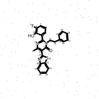 Cc1nc(-c2cccc(F)c2O)n(CCc2ccccc2)c(=O)c1-c1nc2ccccc2s1